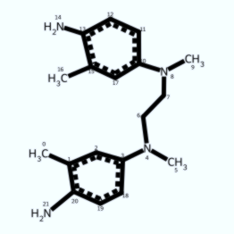 Cc1cc(N(C)CCN(C)c2ccc(N)c(C)c2)ccc1N